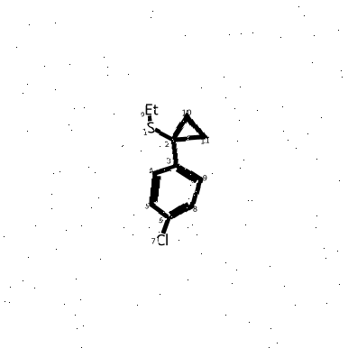 CCSC1(c2ccc(Cl)cc2)CC1